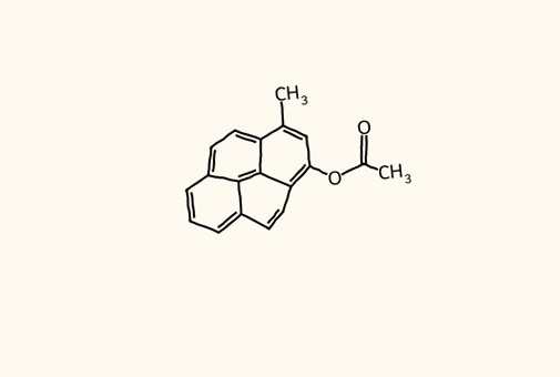 CC(=O)Oc1cc(C)c2ccc3cccc4ccc1c2c34